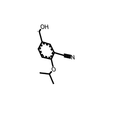 CC(C)Oc1ccc([CH]O)cc1C#N